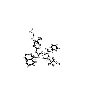 CSCC[C@H](NC(=O)CN(Cc1cccc2ccccc12)C[C@@H]1CCCN1C(=O)Cc1ccccn1)C(=O)O.O=C(O)C(F)(F)F